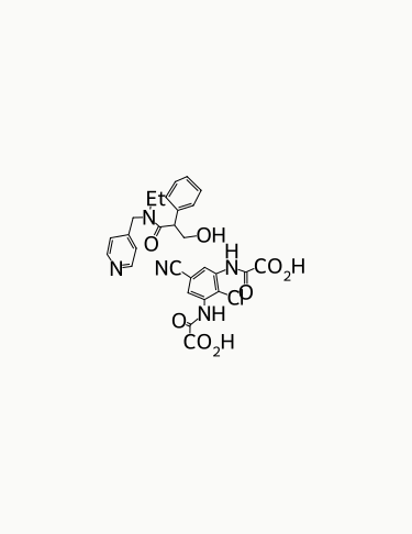 CCN(Cc1ccncc1)C(=O)C(CO)c1ccccc1.N#Cc1cc(NC(=O)C(=O)O)c(Cl)c(NC(=O)C(=O)O)c1